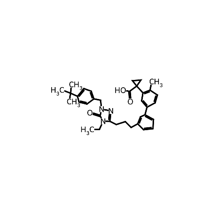 CCn1c(CCCc2cccc(-c3ccc(C)c(C4(C(=O)O)CC4)c3)c2)nn(Cc2ccc(C(C)(C)C)cc2)c1=O